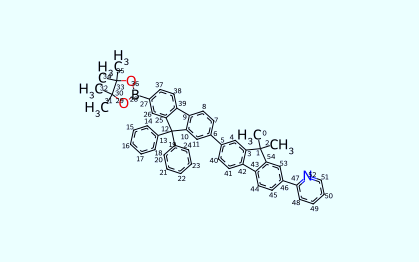 CC1(C)c2cc(-c3ccc4c(c3)C(c3ccccc3)(c3ccccc3)c3cc(B5OC(C)(C)C(C)(C)O5)ccc3-4)ccc2-c2ccc(-c3ccccn3)cc21